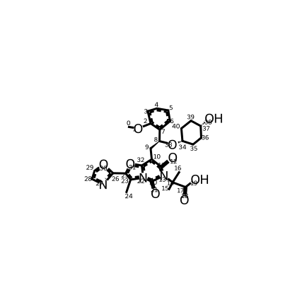 COc1ccccc1[C@H](Cc1c(=O)n(C(C)(C)C(=O)O)c(=O)n2c(C)c(-c3ncco3)oc12)O[C@H]1CC[C@@H](O)CC1